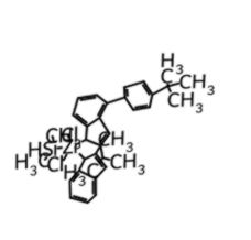 CC1=Cc2ccccc2[CH]1[Zr]([Cl])([Cl])([CH]1C(C(C)C)=Cc2c(-c3ccc(C(C)(C)C)cc3)cccc21)[SiH](C)C